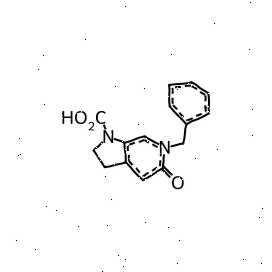 O=C(O)N1CCc2cc(=O)n(Cc3ccccc3)cc21